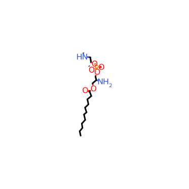 CCCCCCCCCCCC(=O)OCC(N)COP(=O)(OC)OCCNC